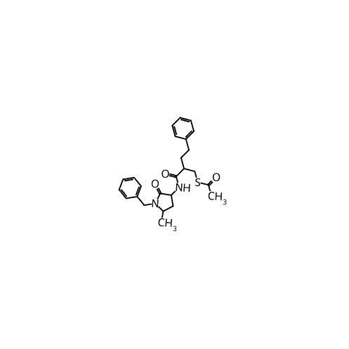 CC(=O)SCC(CCc1ccccc1)C(=O)NC1CC(C)N(Cc2ccccc2)C1=O